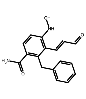 NC(=O)c1ccc(NO)c(C=CC=O)c1Cc1ccccc1